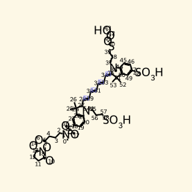 CN(CCCC(=O)ON1C(=O)CCC1=O)S(=O)(=O)c1ccc2c(c1)C(C)(C)C(/C=C/C=C/C=C/C=C1/N(CCCSOOO)c3ccc(S(=O)(=O)O)cc3C1(C)C)=[N+]2CCCS(=O)(=O)O